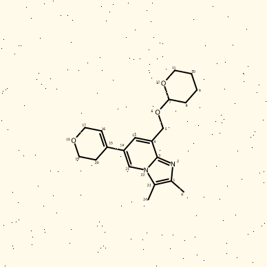 Cc1nc2c(COC3CCCCO3)cc(C3=CCOCC3)cn2c1C